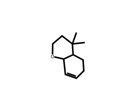 CC1(C)CCOC2C=CCCC21